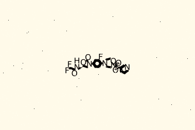 O=C(NC[C@H]1CN(c2ccc(N3CCON(S(=O)(=O)c4cccnc4)CC3)c(F)c2)C(=O)O1)C(F)F